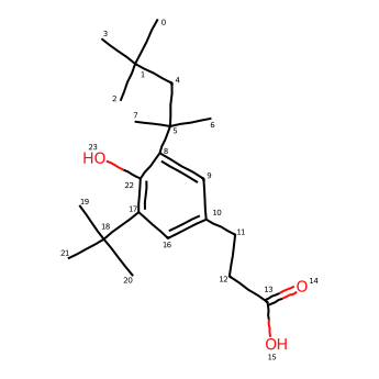 CC(C)(C)CC(C)(C)c1cc(CCC(=O)O)cc(C(C)(C)C)c1O